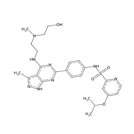 Cc1n[nH]c2nc(-c3ccc(NS(=O)(=O)c4cc(OC(C)C)ccn4)cc3)nc(NCCN(C)CCO)c12